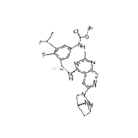 Cc1nc(N[C@H](C)c2cc(NC(=O)OC(C)C)cc(C(F)F)c2F)c2cc(N3CC4CC(C3)N4)ncc2n1